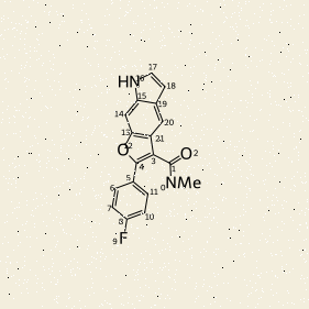 CNC(=O)c1c(-c2ccc(F)cc2)oc2cc3[nH]ccc3cc12